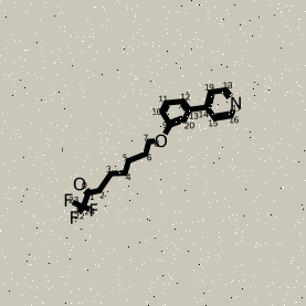 O=C(CCCCCCOc1cccc(-c2ccncc2)c1)C(F)(F)F